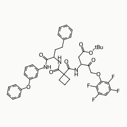 CC(C)(C)OC(=O)CC(NC(=O)C1(C(=O)NC(CCc2ccccc2)C(=O)Nc2cccc(Oc3ccccc3)c2)CCC1)C(=O)COc1c(F)c(F)cc(F)c1F